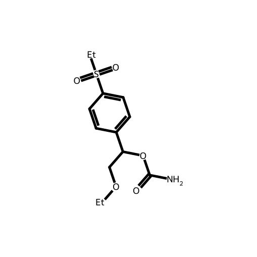 CCOCC(OC(N)=O)c1ccc(S(=O)(=O)CC)cc1